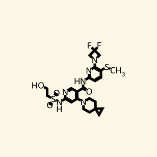 CSc1ccc(NC(=O)c2cnc(NS(=O)(=O)CCO)cc2N2CCC3(CC2)CC3)nc1N1CC(F)(F)C1